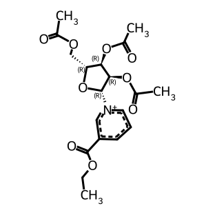 CCOC(=O)c1ccc[n+]([C@@H]2O[C@H](COC(C)=O)[C@@H](OC(C)=O)[C@H]2OC(C)=O)c1